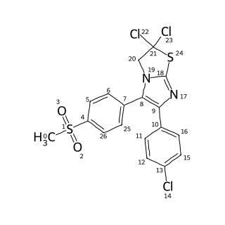 CS(=O)(=O)c1ccc(-c2c(-c3ccc(Cl)cc3)nc3n2CC(Cl)(Cl)S3)cc1